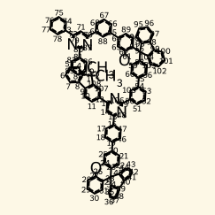 CC1(C)c2ccccc2-c2ccc(-c3cc(-c4ccc(-c5ccc6c(c5)Oc5ccccc5C65c6ccccc6-c6ccccc65)cc4)nc(-c4cccc(-c5ccc6c(c5)Oc5cc(-c7cccc(-c8cc(-c9ccccc9)nc(-c9ccccc9)n8)c7)ccc5C65c6ccccc6-c6ccccc65)c4)n3)cc21